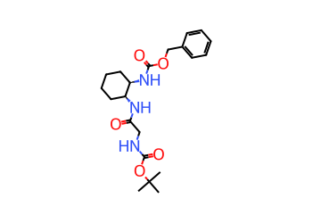 CC(C)(C)OC(=O)NCC(=O)N[C@H]1CCCC[C@H]1NC(=O)OCc1ccccc1